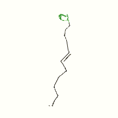 [CH2]CCC/C=C/CCCl